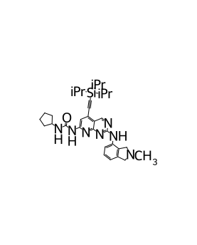 CC(C)[Si](C#Cc1cc(NC(=O)NC2CCCC2)nc2nc(Nc3cccc4c3CN(C)C4)ncc12)(C(C)C)C(C)C